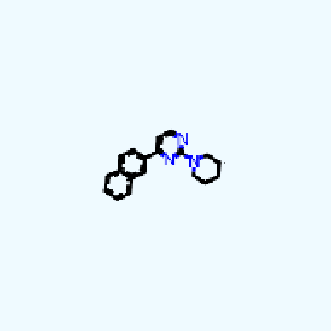 [CH]1CCCN(c2nccc(-c3ccc4ccccc4c3)n2)C1